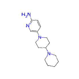 Nc1ccc(N2CCC(N3CCCCC3)CC2)cn1